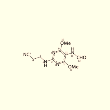 COc1nc(NCCC#N)nc(OC)c1NC=O